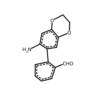 Nc1cc2c(cc1-c1ccccc1C=O)OCCO2